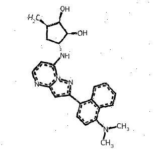 [CH2][C@@H]1C[C@@H](Nc2ccnc3cc(-c4ccc(N(C)C)c5ccccc45)nn23)[C@H](O)[C@@H]1O